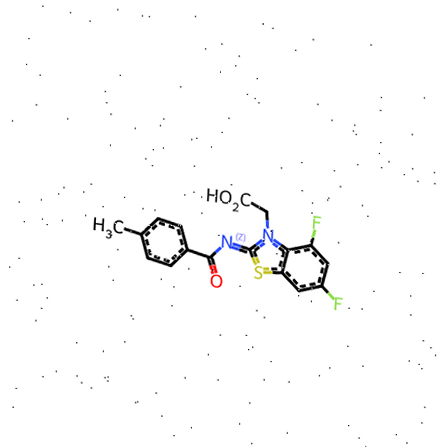 Cc1ccc(C(=O)/N=c2\sc3cc(F)cc(F)c3n2CC(=O)O)cc1